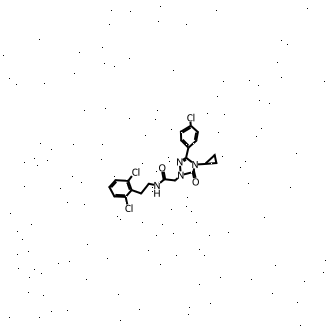 O=C(Cn1nc(-c2ccc(Cl)cc2)n(C2CC2)c1=O)NCCc1c(Cl)cccc1Cl